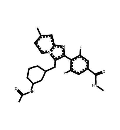 CNC(=O)c1cc(F)c(-c2nc3cc(C)ccn3c2CC2CCCC(NC(C)=O)C2)c(F)c1